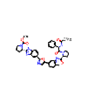 COC(=O)N[C@@H](C(=O)N1CCC[C@H]1C(=O)Nc1cc(-c2cnc(-c3ccc4[nH]c([C@@H]5CCCN5C(=O)OC(C)(C)C)nc4c3)o2)ccc1C)c1ccccc1